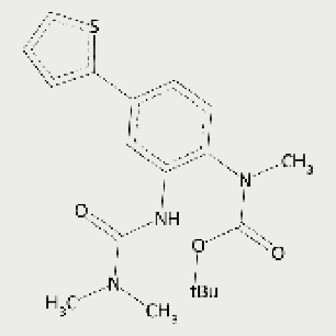 CN(C)C(=O)Nc1cc(-c2cccs2)ccc1N(C)C(=O)OC(C)(C)C